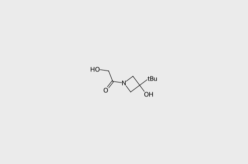 CC(C)(C)C1(O)CN(C(=O)CO)C1